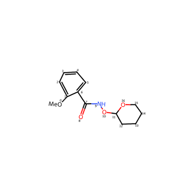 COc1ccccc1C(=O)NOC1CCCCO1